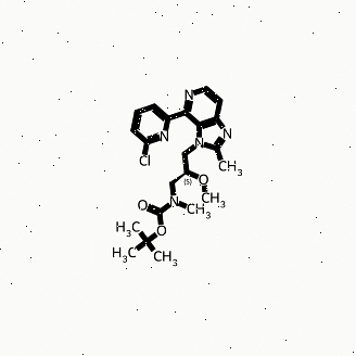 CO[C@@H](CN(C)C(=O)OC(C)(C)C)Cn1c(C)nc2ccnc(-c3cccc(Cl)n3)c21